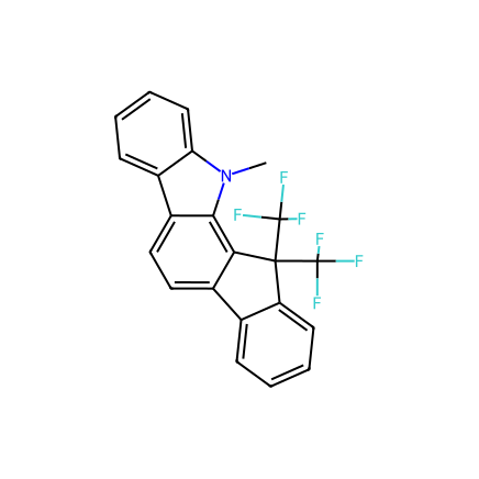 Cn1c2ccccc2c2ccc3c(c21)C(C(F)(F)F)(C(F)(F)F)c1ccccc1-3